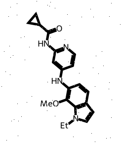 CCn1ccc2ccc(Nc3ccnc(NC(=O)C4CC4)c3)c(OC)c21